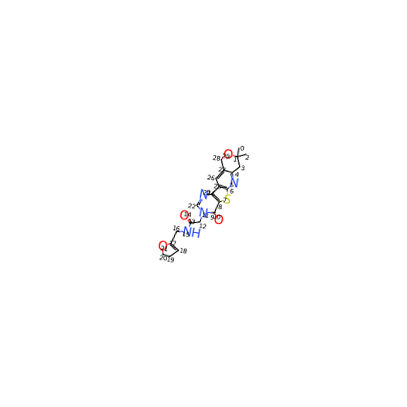 CC1(C)Cc2nc3sc4c(=O)n(CC(=O)NCC5=CCCO5)cnc4c3cc2CO1